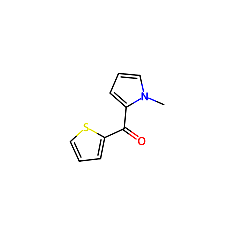 Cn1cccc1C(=O)c1cccs1